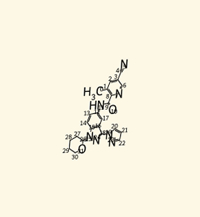 Cc1cc(C#N)cnc1C(=O)Nc1ccc2c(c1)c(-n1cccn1)nn2C1CCCCO1